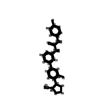 Cc1ccc(NC(=O)Nc2cncc(-c3ccc(C4CCCN4C#N)c(C)c3)n2)cn1